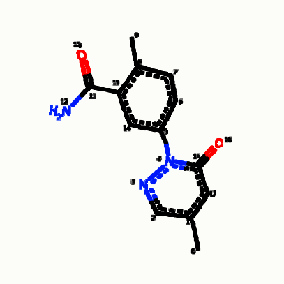 Cc1cnn(-c2ccc(C)c(C(N)=O)c2)c(=O)c1